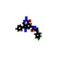 O=C1NN=Cc2c(-c3ccccc3)[nH]c3cc(NC(=O)C4CC4c4ccc(F)cc4)cc1c23